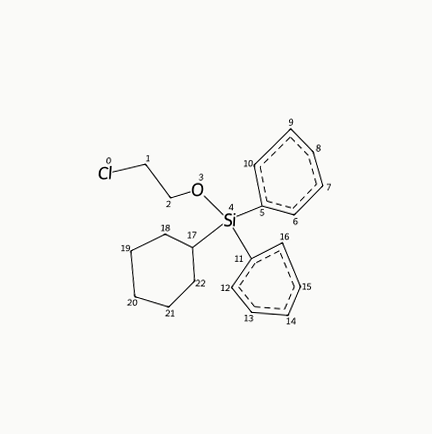 ClCCO[Si](c1ccccc1)(c1ccccc1)C1CCCCC1